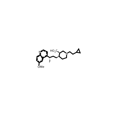 COc1ccc2nccc([C@@H](F)CC[C@@H]3CCN(CCC4CC4)C[C@@H]3C(=O)O)c2c1